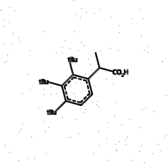 CC(C(=O)O)c1ccc(C(C)(C)C)c(C(C)(C)C)c1C(C)(C)C